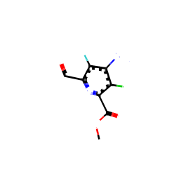 COC(=O)c1nc(C=O)c(F)c(N)c1Cl